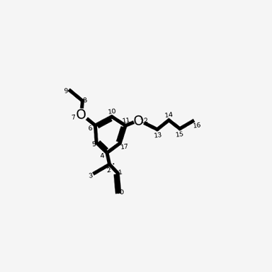 C=C[C](C)c1cc(OCC)cc(OCCCC)c1